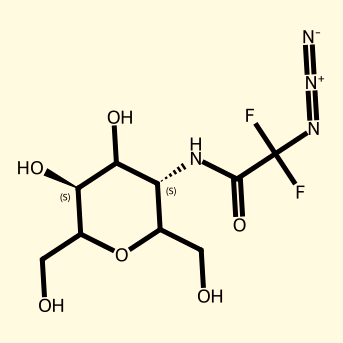 [N-]=[N+]=NC(F)(F)C(=O)N[C@@H]1C(CO)OC(CO)[C@@H](O)C1O